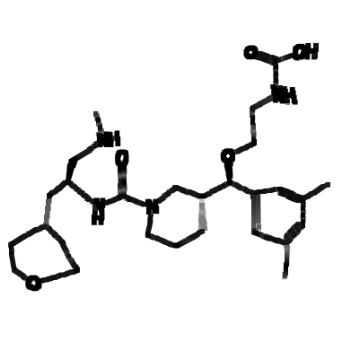 CNC[C@H](CC1CCOCC1)NC(=O)N1CCC[C@@H]([C@@H](OCCNC(=O)O)c2cc(C)cc(C)c2)C1